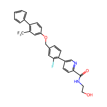 O=C(NCCO)c1ccc(-c2ccc(COc3ccc(-c4ccccc4)c(C(F)(F)F)c3)cc2F)cn1